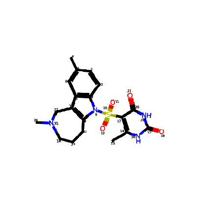 Cc1ccc2c(c1)c1c(n2S(=O)(=O)c2c(C)[nH]c(=O)[nH]c2=O)CCCN(C)C1